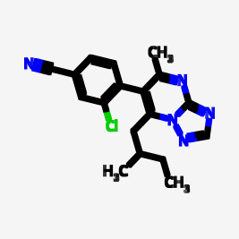 CCC(C)Cc1c(-c2ccc(C#N)cc2Cl)c(C)nc2ncnn12